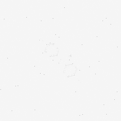 O=[As](O)(c1ccc(Cl)cc1)c1ccc(Cl)cc1